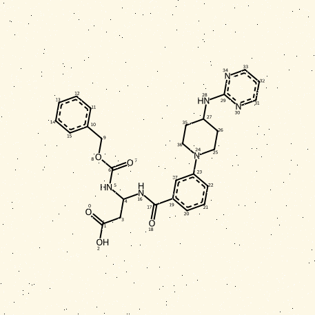 O=C(O)CC(NC(=O)OCc1ccccc1)NC(=O)c1cccc(N2CCC(Nc3ncccn3)CC2)c1